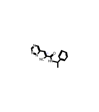 CC(NC(=O)/C(C#N)=C/c1cncnn1)c1ccccc1